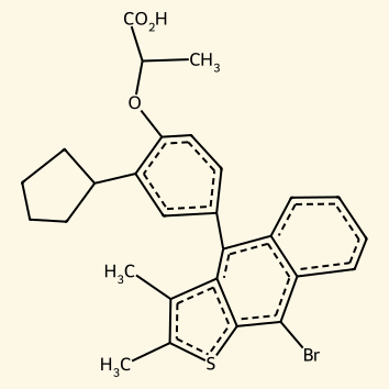 Cc1sc2c(Br)c3ccccc3c(-c3ccc(OC(C)C(=O)O)c(C4CCCC4)c3)c2c1C